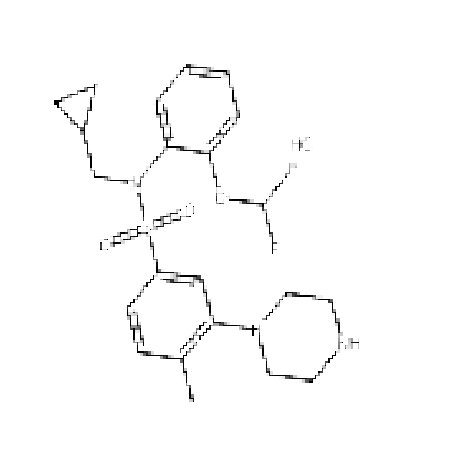 Cc1ccc(S(=O)(=O)N(CC2CC2)c2ccccc2OC(F)F)cc1N1CCNCC1.Cl